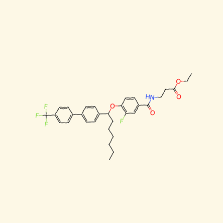 CCCCCCC(Oc1ccc(C(=O)NCCC(=O)OCC)cc1F)c1ccc(-c2ccc(C(F)(F)F)cc2)cc1